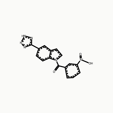 O=C(c1cccc([N+](=O)O)c1)n1ccc2cc(-c3nn[nH]n3)ccc21